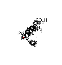 CC(C)[C@@H]1CC[C@]2(NCCN3CCS(=O)(=O)CC3)CC[C@]3(C)[C@H](CC[C@@H]4[C@@]5(C)CC=C(C6=CC[C@](CF)(C(=O)O)CC6)C(C)(C)[C@@H]5CC[C@]43C)[C@@H]12